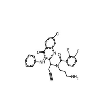 C#CCC(c1nc2cc(Cl)ccc2c(=O)n1Nc1ccccc1)N(CCCN)C(=O)c1cccc(F)c1F